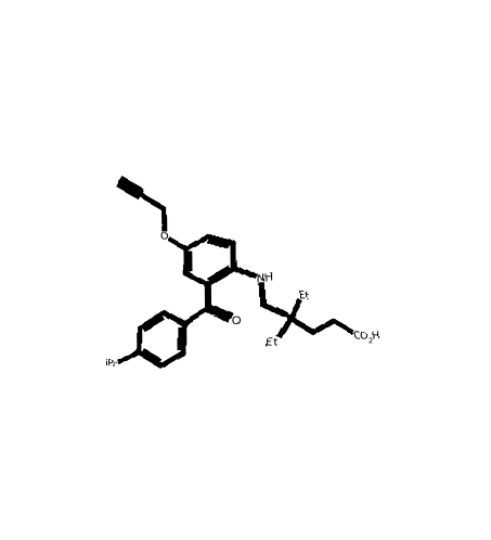 C#CCOc1ccc(NCC(CC)(CC)CCC(=O)O)c(C(=O)c2ccc(C(C)C)cc2)c1